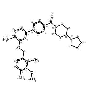 COc1c(C)cnc(COc2cc(-c3ccc(C(=O)N4CCC(N5CCCC5)CC4)cc3)cnc2N)c1C